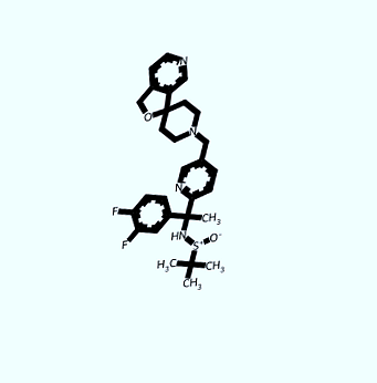 CC(N[S+]([O-])C(C)(C)C)(c1ccc(F)c(F)c1)c1ccc(CN2CCC3(CC2)OCc2ccncc23)cn1